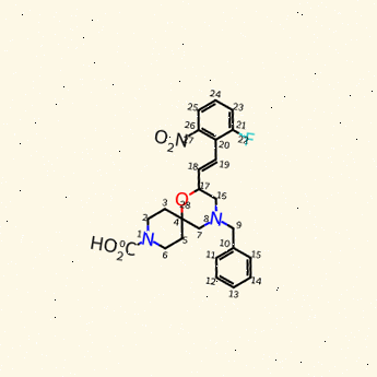 O=C(O)N1CCC2(CC1)CN(Cc1ccccc1)CC(C=Cc1c(F)cccc1[N+](=O)[O-])O2